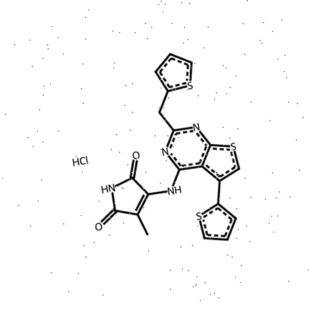 CC1=C(Nc2nc(Cc3cccs3)nc3scc(-c4cccs4)c23)C(=O)NC1=O.Cl